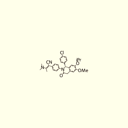 COc1cc2c(cc1OC(C)C)[C@H](c1ccc(Cl)cc1)N(c1ccc(/C(C#N)=C(\C)N(C)C)cc1)C(=O)C2